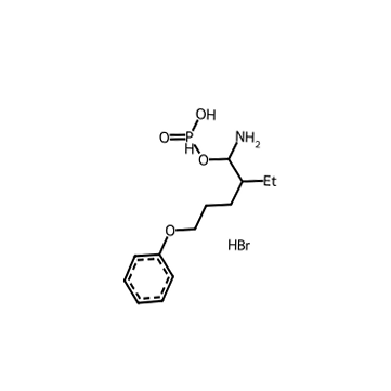 Br.CCC(CCCOc1ccccc1)C(N)O[PH](=O)O